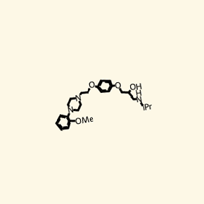 COc1ccccc1N1CCN(CCOc2ccc(OCC(O)CNC(C)C)cc2)CC1